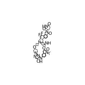 CNC(=O)COc1cc2cc(Nc3nc(N4CCC(O[C@H]5C[C@H](N6CCC(c7ccc8c(c7C(F)(F)F)CN(C7CCC(=O)NC7=O)C8=O)CC6)C5)CC4)ncc3Cl)ccc2n(C(C)C)c1=O